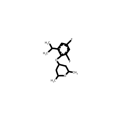 CC1CC(Oc2c(F)cc(F)cc2C(C)C)CC(C)O1